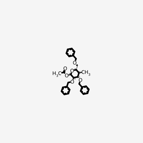 CC(=O)O[C@H]1O[C@H](COCc2ccccc2)[C@@H](C)[C@H](OCc2ccccc2)[C@H]1OCc1ccccc1